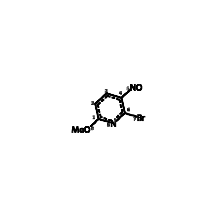 COc1ccc(N=O)c(Br)n1